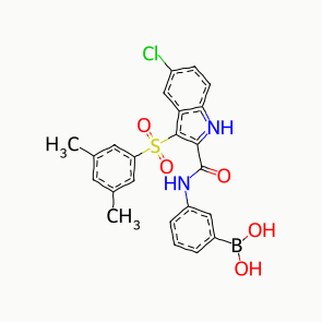 Cc1cc(C)cc(S(=O)(=O)c2c(C(=O)Nc3cccc(B(O)O)c3)[nH]c3ccc(Cl)cc23)c1